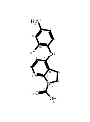 Nc1ccc(Oc2ccnc3c2CCN3C(=O)O)c(F)c1